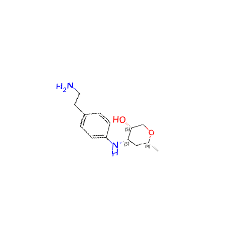 C[C@@H]1C[C@H](Nc2ccc(CCN)cc2)[C@H](O)CO1